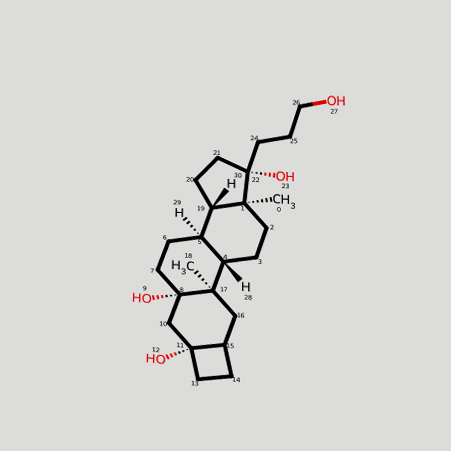 C[C@]12CC[C@H]3[C@@H](CC[C@]4(O)C[C@]5(O)CCC5C[C@]34C)[C@@H]1CC[C@@]2(O)CCCO